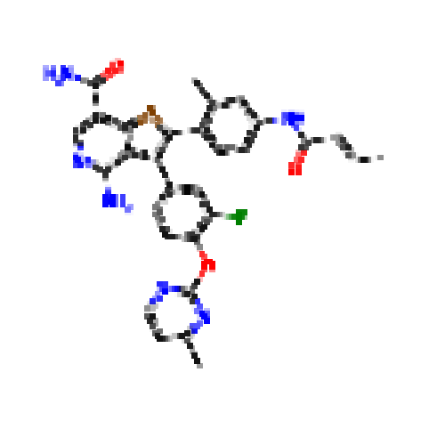 CC=CC(=O)Nc1ccc(-c2sc3c(C(N)=O)cnc(N)c3c2-c2ccc(Oc3nccc(C)n3)c(F)c2)c(C)c1